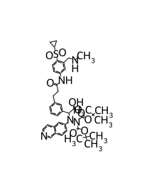 CNCc1cc(NC(=O)CCc2cccc(C(C(=O)O)N(c3ccc4cnccc4c3)N(C(=O)OC(C)(C)C)C(=O)OC(C)(C)C)c2)ccc1S(=O)(=O)C1CC1